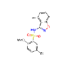 CCc1ccc(OC)c(S(=O)(=O)Nc2noc3cccc(C)c23)c1